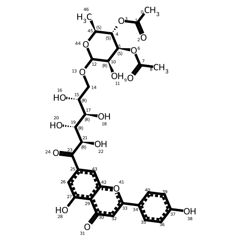 CC(=O)O[C@@H]1[C@@H](OC(C)=O)[C@@H](O)C(OC[C@@H](O)[C@@H](O)[C@@H](O)[C@@H](O)C(=O)c2cc(O)c3c(=O)cc(-c4ccc(O)cc4)oc3c2)O[C@H]1C